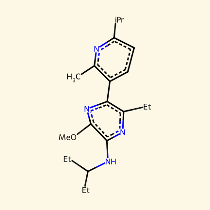 CCc1nc(NC(CC)CC)c(OC)nc1-c1ccc(C(C)C)nc1C